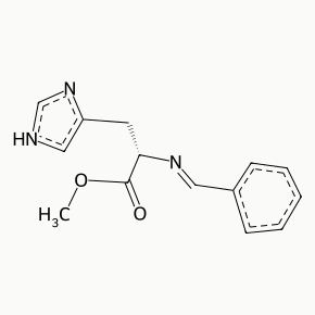 COC(=O)[C@H](Cc1c[nH]cn1)N=Cc1ccccc1